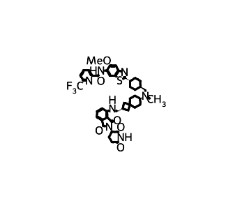 COc1cc2nc([C@H]3CC[C@H](CN(C)[C@H]4CCC5(CC4)C[C@@H](CNc4cccc6c4C(=O)N(C4CCC(=O)NC4=O)C6=O)C5)CC3)sc2cc1NC(=O)c1cccc(C(F)(F)F)n1